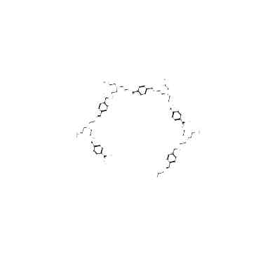 CCC/N=C/c1ccc(C(=O)NCCN(CCNC)CCNC(=O)c2ccc(/C=N/CCN(CC/N=C/c3ccc(C(=O)NCCN(CCNC)CCNC(=O)c4ccc(/C=N/CCN(CC/N=C/c5ccc(C(=O)NC)cc5)CCNC)cc4)cc3)CCNC)cc2)cc1